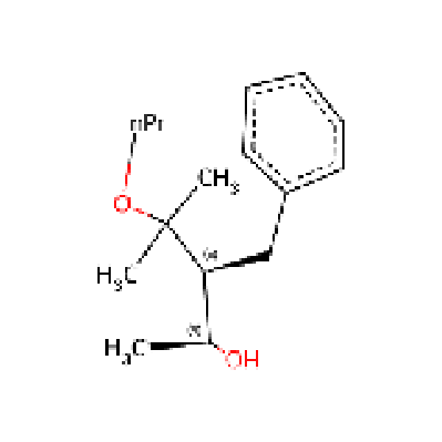 CCCOC(C)(C)[C@@H](Cc1ccccc1)[C@H](C)O